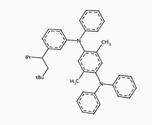 Cc1cc(N(c2ccccc2)c2cccc(C(CC(C)(C)C)C(C)C)c2)c(C)cc1N(c1ccccc1)c1ccccc1